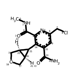 CNC(=O)c1nc(CCl)cc(C(N)=O)c1C1[C@H]2COC[C@@H]12